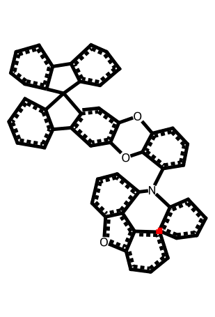 c1ccc(N(c2cccc3c2Oc2cc4c(cc2O3)C2(c3ccccc3-c3ccccc32)c2ccccc2-4)c2cccc3oc4ccccc4c23)cc1